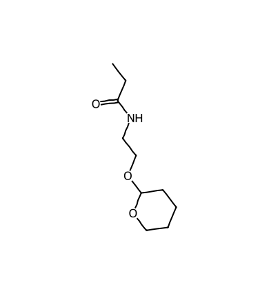 CCC(=O)NCCOC1CCCCO1